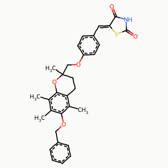 Cc1c(C)c2c(c(C)c1OCc1ccccc1)CCC(C)(COc1ccc(/C=C3\SC(=O)NC3=O)cc1)O2